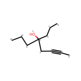 [CH2]C#CCC(O)(CCC)CCC